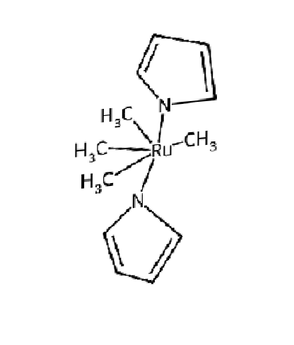 [CH3][Ru]([CH3])([CH3])([CH3])([n]1cccc1)[n]1cccc1